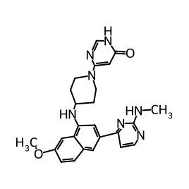 CNc1nccc(-c2cc(NC3CCN(c4cc(=O)[nH]cn4)CC3)c3cc(OC)ccc3c2)n1